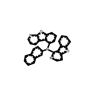 c1ccc2cc(N(c3nccc4oc5ccccc5c34)c3cccc4oc5ncccc5c34)ccc2c1